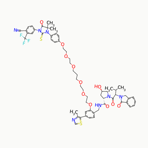 Cc1ncsc1-c1ccc(CNC(=O)[C@@H]2C[C@@H](O)CN2C(=O)C(C(C)C)N2Cc3ccccc3C2=O)c(OCCOCCOCCCOCCOCCOc2ccc(N3C(=S)N(c4ccc(C#N)c(C(F)(F)F)c4)C(=O)C3(C)C)cc2)c1